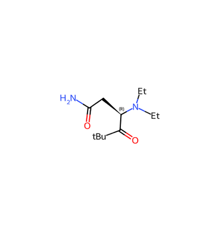 CCN(CC)[C@H](CC(N)=O)C(=O)C(C)(C)C